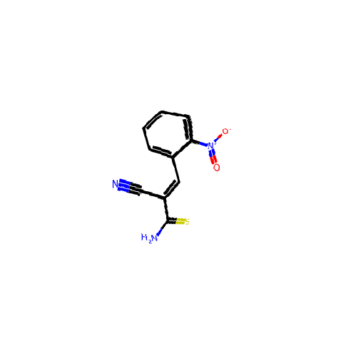 N#C/C(=C\c1ccccc1[N+](=O)[O-])C(N)=S